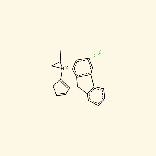 C[CH]1[CH2][Hf+2]1([C]1=CC=CC1)[c]1cccc2c1Cc1ccccc1-2.[Cl-].[Cl-]